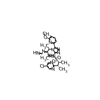 CN/C(=N\C=N)[C@@H](C)n1c(NS(=O)(=O)[C@@H](C)[C@H](C)c2ncc(Cl)cn2)nnc1-c1cccc(OC)n1